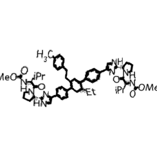 CC[C@H]1CC(c2ccc(-c3c[nH]c([C@@H]4CCCN4C(=O)[C@@H](NC(=O)OC)C(C)C)n3)cc2)=C(CCc2ccc(C)cc2)C=C1c1ccc(-c2c[nH]c([C@@H]3CCCN3C(=O)[C@@H](NC(=O)OC)C(C)C)n2)cc1